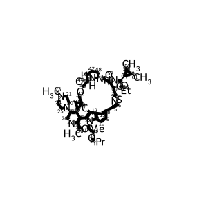 CCO[C@@H]1c2nc(cs2)-c2ccc3c(c2)c(c(-c2cc(N4CCN(C)CC4)cnc2[C@H](C)OC)n3CCOC(C)C)CC2(CC2)COC(=O)[C@@H]2CCCN(N2)C(=O)[C@H]1NC(=O)[C@H]1[C@H](C)[C@@H]1C